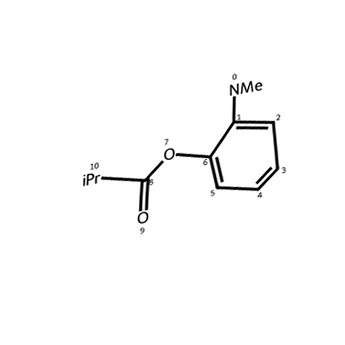 CNc1ccccc1OC(=O)C(C)C